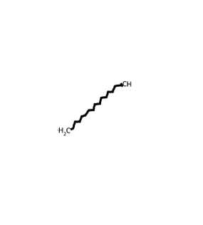 C#CCCCCCCCCCCCCCC[CH2]